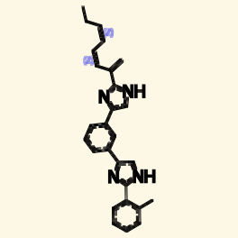 C=C(/C=C\C=C/CC)c1nc(-c2cccc(-c3c[nH]c(-c4ccccc4C)n3)c2)c[nH]1